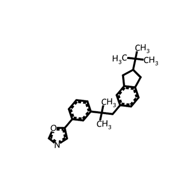 CC(C)(Cc1ccc2c(c1)CC(C(C)(C)C)C2)c1cccc(-c2cnco2)c1